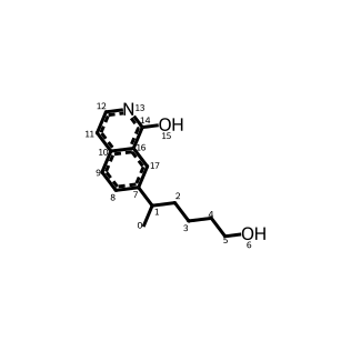 CC(CCCCO)c1ccc2ccnc(O)c2c1